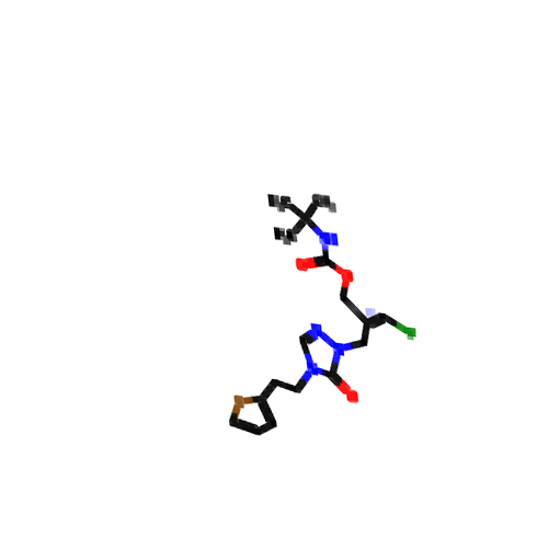 CC(C)(C)NC(=O)OC/C(=C/F)Cn1ncn(CCc2cccs2)c1=O